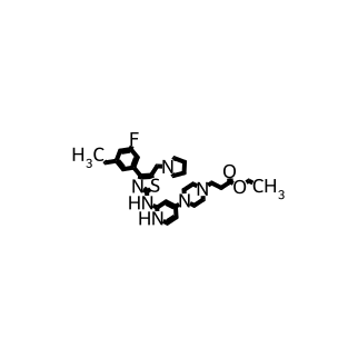 CCOC(=O)CCN1CCN(C2=CC(Nc3nc(-c4cc(F)cc(CC)c4)c(CN4CCCC4)s3)NC=C2)CC1